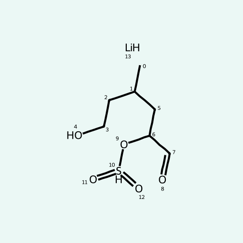 CC(CCO)CC(C=O)O[SH](=O)=O.[LiH]